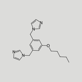 CCCCCOc1cc(Cn2ccnc2)cc(Cn2ccnc2)c1